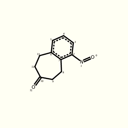 O=Nc1cccc2c1CCC(=O)CC2